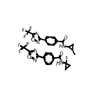 CC1CC1NC(=O)c1ccc(-c2noc(C(F)(F)F)n2)cc1.O=C(NC1(F)CC1)c1ccc(-c2noc(C(F)(F)F)n2)cc1